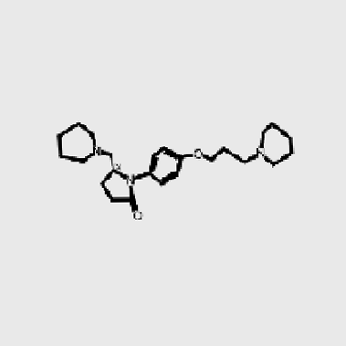 O=C1CC[C@@H](CN2CCCCC2)N1c1ccc(OCCCN2CCCCC2)cc1